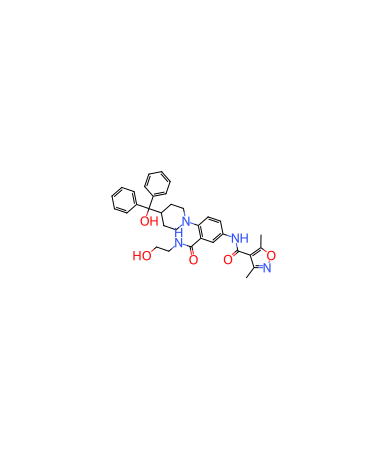 Cc1noc(C)c1C(=O)Nc1ccc(N2CCC(C(O)(c3ccccc3)c3ccccc3)CC2)c(C(=O)NCCO)c1